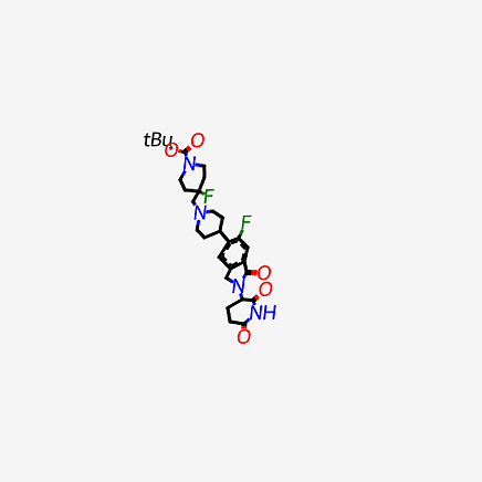 CC(C)(C)OC(=O)N1CCC(F)(CN2CCC(c3cc4c(cc3F)C(=O)N(C3CCC(=O)NC3=O)C4)CC2)CC1